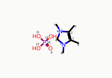 CC1=C(C)N(C)CN1C.O=P(O)(O)O